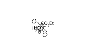 CCOC(=O)[C@H](CCc1ccccc1)NC(C)C(=O)N1C2CCCCC2C[C@H]1C(=O)O